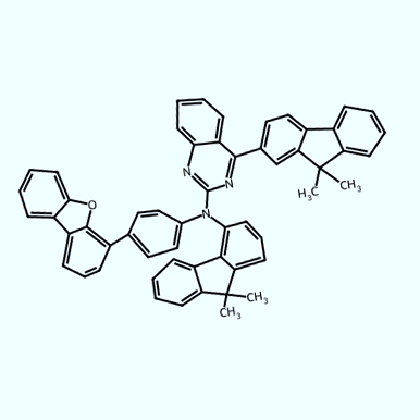 CC1(C)c2ccccc2-c2ccc(-c3nc(N(c4ccc(-c5cccc6c5oc5ccccc56)cc4)c4cccc5c4-c4ccccc4C5(C)C)nc4ccccc34)cc21